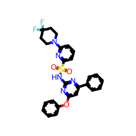 O=S(=O)(Nc1nc(Oc2ccccc2)cc(-c2ccccc2)n1)c1cccc(N2CCC(F)(F)CC2)n1